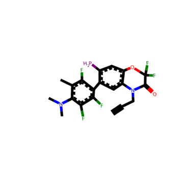 C#CCN1C(=O)C(F)(F)Oc2cc(P)c(-c3c(F)c(C)c(N(C)C)c(F)c3F)cc21